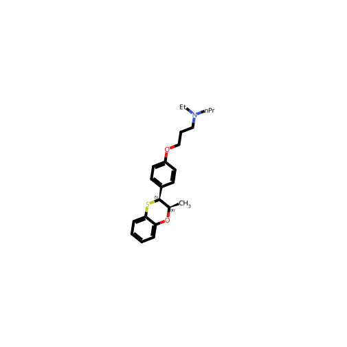 CCCN(CC)CCCOc1ccc([C@@H]2Sc3ccccc3O[C@@H]2C)cc1